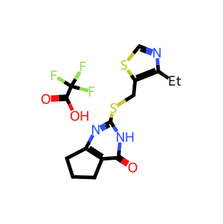 CCc1ncsc1CSc1nc2c(c(=O)[nH]1)CCC2.O=C(O)C(F)(F)F